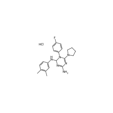 Cc1ccc(NC2N=C(N)N=C(N3CCCC3)N2c2ccc(F)cc2)cc1C.Cl